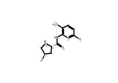 Cc1ccc(Cl)nc1NC(=O)[C@@H]1C[C@@H](F)CN1